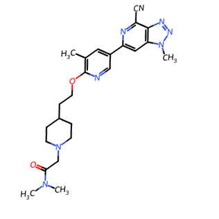 Cc1cc(-c2cc3c(nnn3C)c(C#N)n2)cnc1OCCC1CCN(CC(=O)N(C)C)CC1